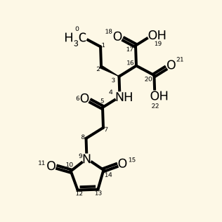 CCC[C@H](NC(=O)CCN1C(=O)C=CC1=O)C(C(=O)O)C(=O)O